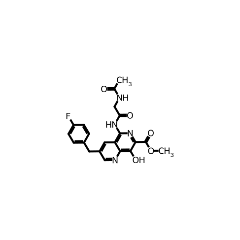 COC(=O)c1nc(NC(=O)CNC(C)=O)c2cc(Cc3ccc(F)cc3)cnc2c1O